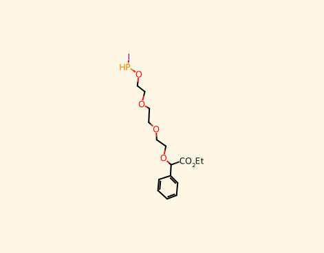 CCOC(=O)C(OCCOCCOCCOPI)c1ccccc1